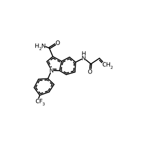 C=CC(=O)Nc1ccc2c(c1)c(C(N)=O)cn2-c1ccc(C(F)(F)F)cc1